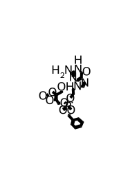 Nc1nc2c(ncn2CCOCP(=O)(OCc2ccccc2)OCc2oc(=O)oc2CO)c(=O)[nH]1